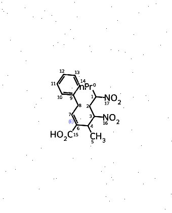 CCCC(CC(C(C)/C(=C\Cc1ccccc1)C(=O)O)[N+](=O)[O-])[N+](=O)[O-]